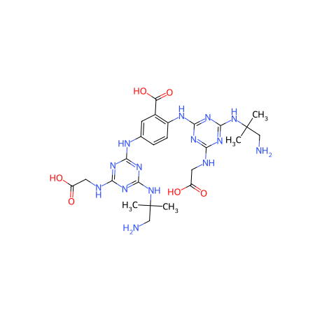 CC(C)(CN)Nc1nc(NCC(=O)O)nc(Nc2ccc(Nc3nc(NCC(=O)O)nc(NC(C)(C)CN)n3)c(C(=O)O)c2)n1